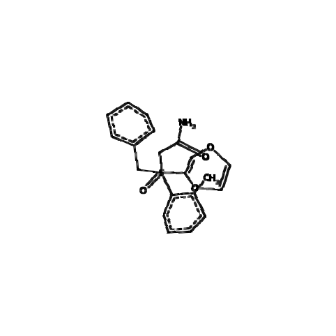 Cc1ccccc1S(=O)(CC(N)=O)(Cc1ccccc1)C1=COC=CO1